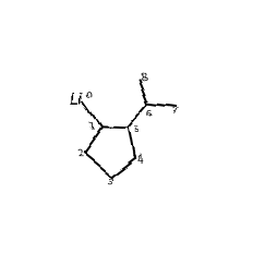 [Li][CH]1CCCC1C(C)C